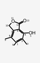 Cc1c(C)c(O)c2c(c1C)COC2=O